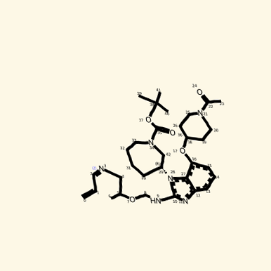 C=C/C=N\CC(C)OCNc1nc2cccc(OC3CCN(C(C)=O)CC3)c2n1[C@@H]1CCCCN(C(=O)OC(C)(C)C)C1